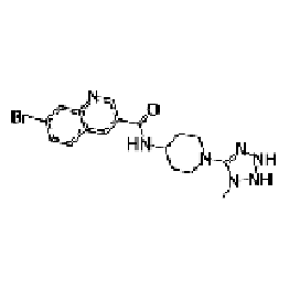 CN1NNN=C1N1CCC(NC(=O)c2cnc3cc(Br)ccc3c2)CC1